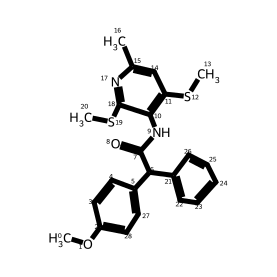 COc1ccc(C(C(=O)Nc2c(SC)cc(C)nc2SC)c2ccccc2)cc1